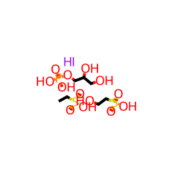 CCS(=O)(=O)O.I.O=P(O)(O)OCC(O)CO.O=S(=O)(O)CCO